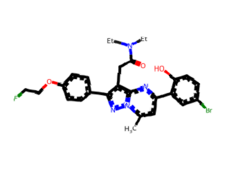 CCN(CC)C(=O)Cc1c(-c2ccc(OCCF)cc2)nn2c(C)cc(-c3cc(Br)ccc3O)nc12